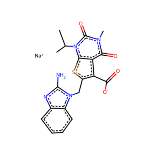 CC(C)n1c(=O)n(C)c(=O)c2c(C(=O)[O-])c(Cn3c(N)nc4ccccc43)sc21.[Na+]